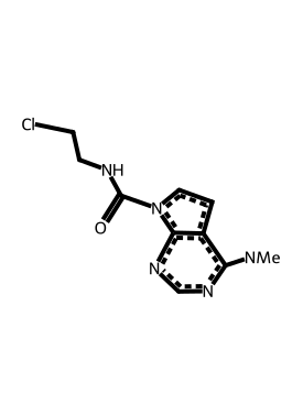 CNc1ncnc2c1ccn2C(=O)NCCCl